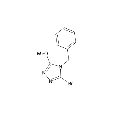 COc1nnc(Br)n1Cc1ccccc1